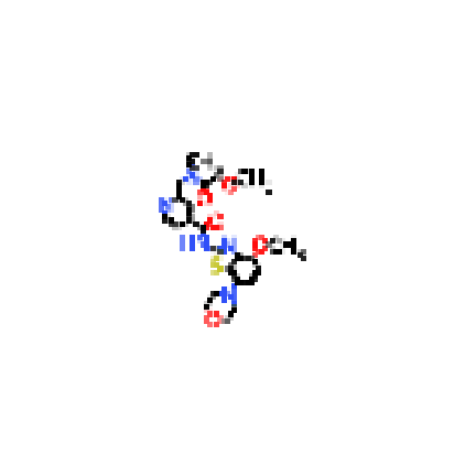 COCC(=O)N(C)Cc1cc(C(=O)Nc2nc3c(OC)ccc(N4CCOCC4)c3s2)ccn1